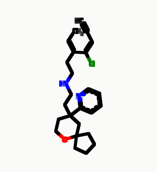 C#C/C=C(Cl)\C(=C/C)CCNCCC1(c2ccccn2)CCOC2(CCCC2)C1